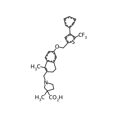 CC1=C(CN2CCC(C)(C(=O)O)C2)CCc2cc(OCc3cc(-c4ccccc4)c(C(F)(F)F)s3)ccc21